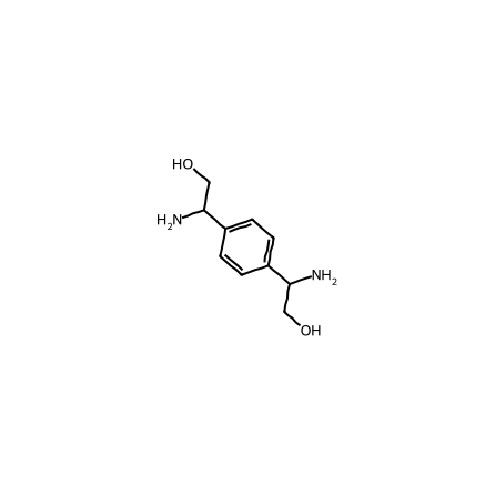 NC(CO)c1ccc(C(N)CO)cc1